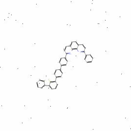 c1ccc(-c2ccc3ccc4ccc(-c5ccc(-c6ccc(-c7cccc8c7sc7ccccc78)cc6)cc5)nc4c3n2)cc1